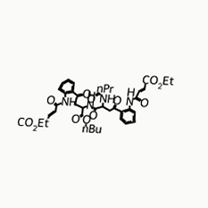 CCCCOC(=O)C(CC(=O)c1ccccc1NC(=O)/C=C/C(=O)OCC)NC(=O)C(CC(=O)c1ccccc1NC(=O)/C=C/C(=O)OCC)NC(=O)CCC